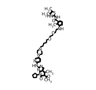 CC(=O)c1c(C)c2cnc(Nc3ccc(N4CCN(CCCCCOCCOCCNc5cccc(C(=O)NC6NC(C)=C(C)S6)c5C)CC4)cn3)nc2n(C2CCCC2)c1=O